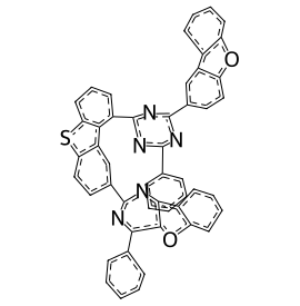 c1ccc(-c2nc(-c3ccc4oc5ccccc5c4c3)nc(-c3cccc4sc5ccc(-c6nc(-c7ccccc7)c7oc8ccccc8c7n6)cc5c34)n2)cc1